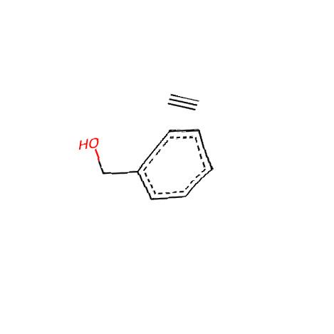 C#C.OCc1ccccc1